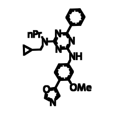 CCCN(CC1CC1)c1nc(Nc2ccc(-c3cnco3)c(OC)c2)nc(-c2ccccc2)n1